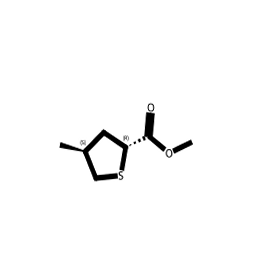 COC(=O)[C@H]1C[C@H](C)CS1